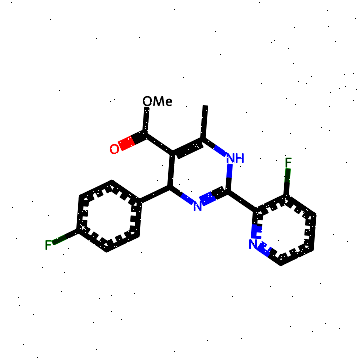 COC(=O)C1=C(C)NC(c2ncccc2F)=NC1c1ccc(F)cc1